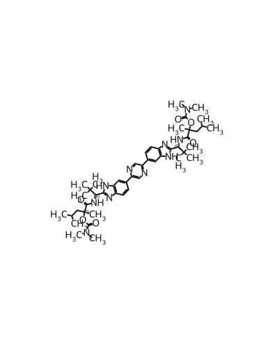 CC(C)CC(C)(OC(=O)N(C)C)C(=O)N[C@H](c1nc2ccc(-c3cnc(-c4ccc5nc([C@@H](NC(=O)[C@@](C)(CC(C)C)OC(=O)N(C)C)C(C)(C)C)[nH]c5c4)cn3)cc2[nH]1)C(C)(C)C